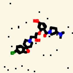 CN(C)C1CCN(C(=O)c2ccc(O)cc2OC[C@@H](O)CN2CCC3(CC2)OCc2cc(Cl)ccc23)C1